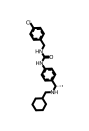 C[C@H](NCC1CCCCC1)c1ccc(NC(=O)NCc2ccc(Cl)cc2)cc1